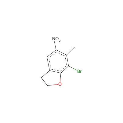 Cc1c([N+](=O)[O-])cc2c(c1Br)OCC2